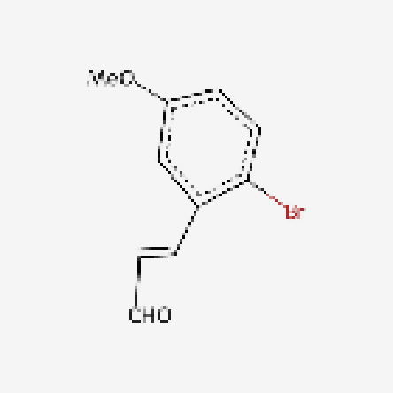 COc1ccc(Br)c(C=CC=O)c1